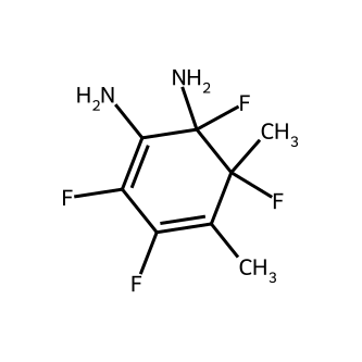 CC1=C(F)C(F)=C(N)C(N)(F)C1(C)F